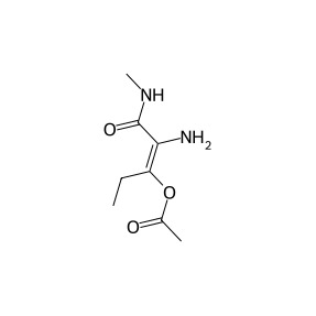 CC/C(OC(C)=O)=C(/N)C(=O)NC